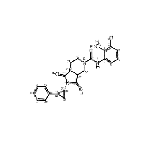 Cc1c(Cl)cccc1NC(=O)N1CCN2C(=O)N([C@@H]3C[C@H]3c3ccccc3)C(=O)C2C1